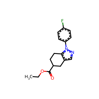 CCOC(=O)C1CCc2c(cnn2-c2ccc(F)cc2)C1